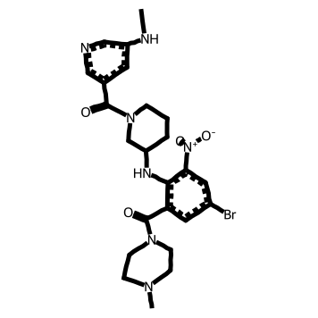 CNc1cncc(C(=O)N2CCCC(Nc3c(C(=O)N4CCN(C)CC4)cc(Br)cc3[N+](=O)[O-])C2)c1